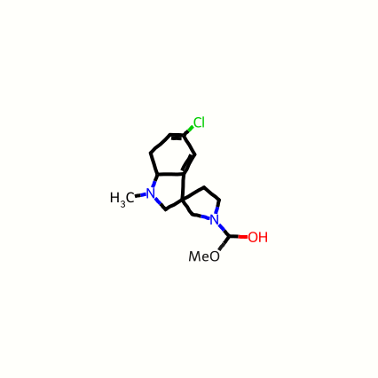 COC(O)N1CCC2(CN(C)C3CC=C(Cl)C=C32)C1